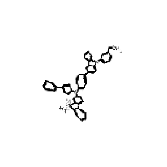 C=Cc1cccc(-n2c3ccccc3c3cc(-c4ccc(N(c5ccc(-c6ccccc6)cc5)c5ccc6c(c5)C(C)(C)c5ccccc5-6)cc4)ccc32)c1